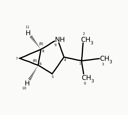 CC(C)(C)C1C[C@H]2C[C@H]2N1